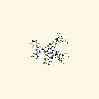 FC(F)(F)c1cc(-c2ccc3c(c2)c2cc(-c4cc(C(F)(F)F)cc(C(F)(F)F)c4)ccc2n3-c2ccc(-c3cc(-c4ccccc4)nc(-c4ccccc4)n3)cc2-c2cc(-c3ccccc3)nc(-c3ccccc3)n2)cc(C(F)(F)F)c1